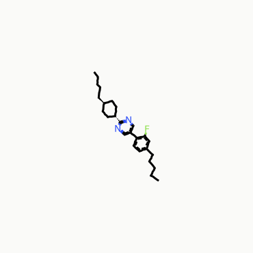 CCCCCc1ccc(-c2cnc([C@H]3CC[C@H](CCCCC)CC3)nc2)c(F)c1